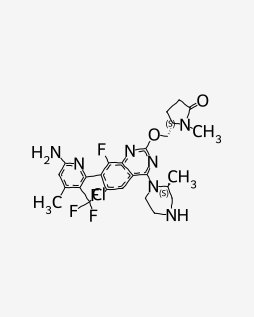 Cc1cc(N)nc(-c2c(Cl)cc3c(N4CCNC[C@@H]4C)nc(OC[C@@H]4CCC(=O)N4C)nc3c2F)c1C(F)(F)F